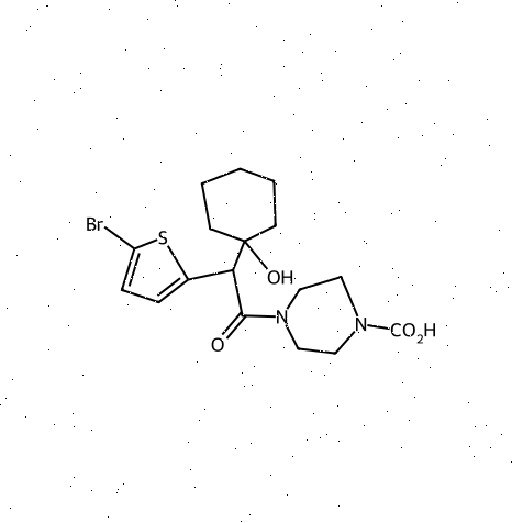 O=C(O)N1CCN(C(=O)C(c2ccc(Br)s2)C2(O)CCCCC2)CC1